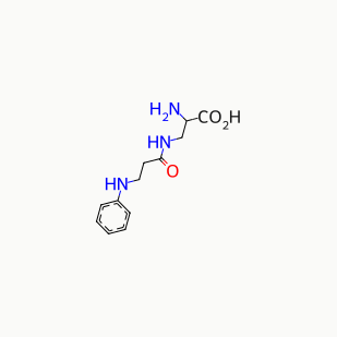 NC(CNC(=O)CCNc1ccccc1)C(=O)O